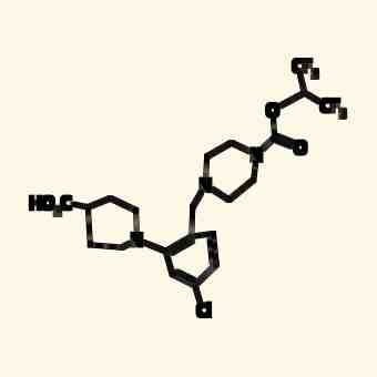 O=C(O)C1CCN(c2cc(Cl)ccc2CN2CCN(C(=O)OC(C(F)(F)F)C(F)(F)F)CC2)CC1